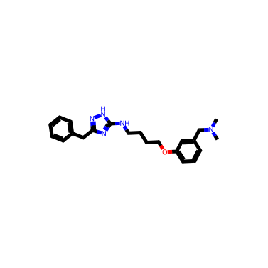 CN(C)Cc1cccc(OCCCCNc2nc(Cc3ccccc3)n[nH]2)c1